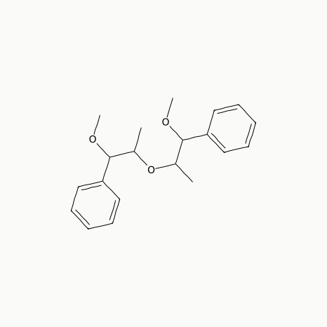 COC(c1ccccc1)C(C)OC(C)C(OC)c1ccccc1